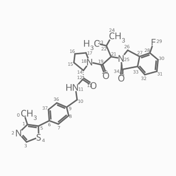 Cc1ncsc1-c1ccc(CNC(=O)[C@@H]2CCCN2C(=O)C(C(C)C)N2Cc3c(F)cccc3C2=O)cc1